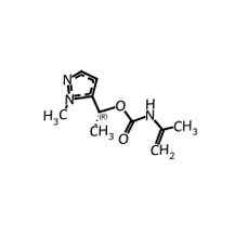 C=C(C)NC(=O)O[C@H](C)c1ccnn1C